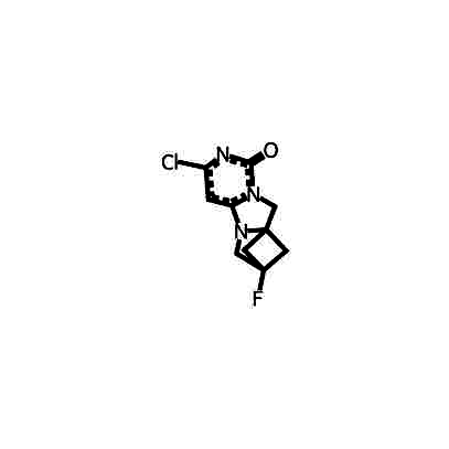 O=c1nc(Cl)cc2n1CC13CC(F)(CN21)C3